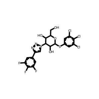 OCC1OC(Sc2cc(Cl)c(Cl)c(Cl)c2)C(O)C(n2cc(-c3cc(F)c(F)c(F)c3)nn2)C1O